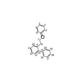 [c]1ccccc1OCCc1ccccc1-c1ccccc1